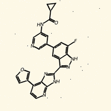 O=C(Nc1cncc(-c2cc(F)c3[nH]nc(-c4nc5c(-c6ccoc6)ccnc5[nH]4)c3c2)c1)C1CC1